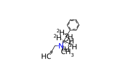 [2H]C([2H])([2H])[C@@]([2H])(N(C)CC#C)C([2H])([2H])c1ccccc1